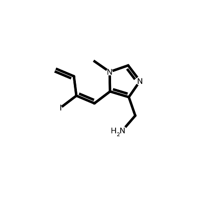 C=C/C(I)=C\c1c(CN)ncn1C